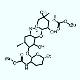 CC[C@@H]1CCC(NC(=O)OC(C)(C)C)[C@@H](OC2C(O)C(O[C@H]3OCC(C)(O)[C@H](N(C)C(=O)OC(C)(C)C)C3O)[C@H](N)C[C@@H]2C)O1